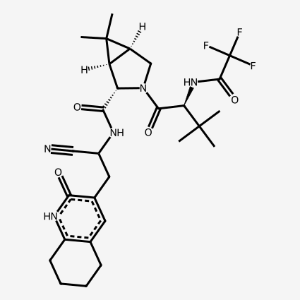 CC(C)(C)[C@H](NC(=O)C(F)(F)F)C(=O)N1C[C@H]2[C@@H]([C@H]1C(=O)NC(C#N)Cc1cc3c([nH]c1=O)CCCC3)C2(C)C